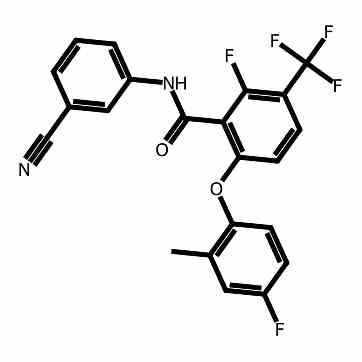 Cc1cc(F)ccc1Oc1ccc(C(F)(F)F)c(F)c1C(=O)Nc1cccc(C#N)c1